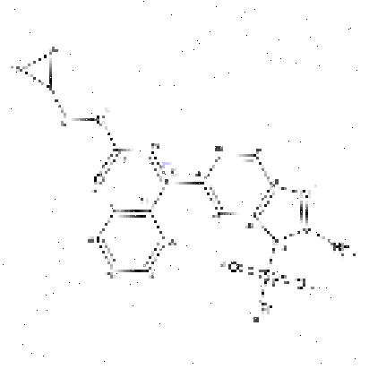 CC(C)S(=O)(=O)n1c(N)nc2ccc(/C(=C/C(=O)OCC3CC3)c3ccccc3)cc21